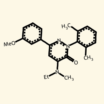 CCN(C)c1cc(-c2cccc(OC)c2)nn(-c2c(C)cccc2C)c1=O